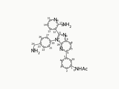 CC(=O)Nc1cccc(-c2ccc3nc(-c4cccnc4N)n(-c4ccc(CN)cc4)c3n2)c1